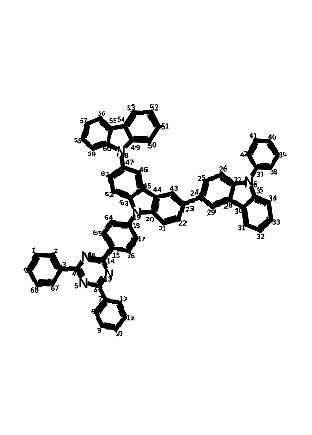 c1ccc(-c2nc(-c3ccccc3)nc(-c3ccc(-n4c5ccc(-c6ccc7c(c6)c6ccccc6n7-c6ccccc6)cc5c5cc(-n6c7ccccc7c7ccccc76)ccc54)cc3)n2)cc1